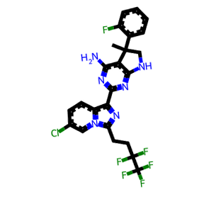 CC1(c2ccccc2F)CNc2nc(-c3nc(CCC(F)(F)C(F)(F)F)n4cc(Cl)ccc34)nc(N)c21